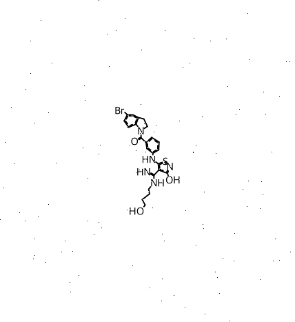 N=C(NCCCCO)c1c(O)nsc1Nc1cccc(C(=O)N2CCc3cc(Br)ccc32)c1